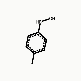 Cc1ccc(BO)cc1